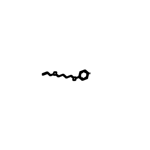 C=CCOCCCCOc1cc[c]cc1